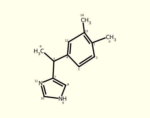 Cc1ccc(C(C)c2c[nH]cn2)cc1C